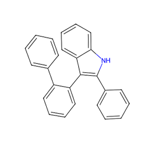 c1ccc(-c2ccccc2-c2c(-c3ccccc3)[nH]c3ccccc23)cc1